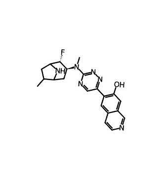 CC1CC2NC1C[C@H](N(C)c1ncc(-c3cc4ccncc4cc3O)nn1)[C@H]2F